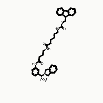 O=C(CCCCCNC(=O)OCC1c2ccccc2-c2ccccc21)NCCCC(=O)Nc1cccc([C@@H](C(=O)O)N2Cc3ccccc3C2)c1